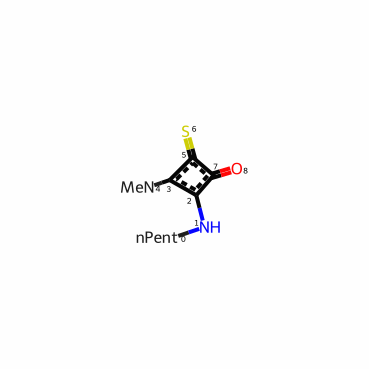 CCCCCNc1c(NC)c(=S)c1=O